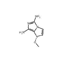 COn1ccn2c(N)nc(N)c12